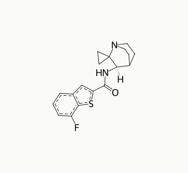 O=C(N[C@@H]1C2CCN(CC2)C12CC2)c1cc2cccc(F)c2s1